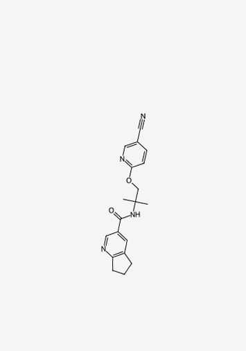 CC(C)(COc1ccc(C#N)cn1)NC(=O)c1cnc2c(c1)CCC2